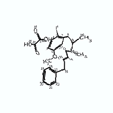 COc1ccc(I)c(CC(C)N(C)CCCCc2ccccc2)c1.O=C(O)C(=O)O